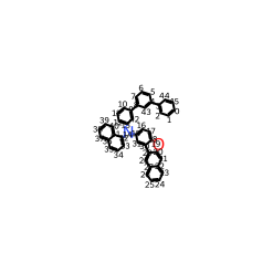 c1ccc(-c2cccc(-c3cccc(N(c4ccc5oc6cc7ccccc7cc6c5c4)c4cccc5ccccc45)c3)c2)cc1